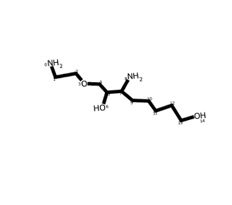 NCCOCC(O)C(N)CCCCCO